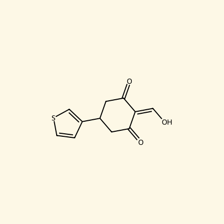 O=C1CC(c2ccsc2)CC(=O)C1=CO